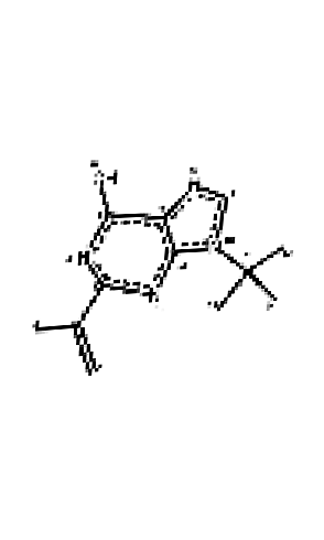 C=C(C)c1nc(O)c2ncn(C(C)(C)C)c2n1